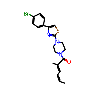 C/C=C\C=C(/C)C(=O)N1CCN(c2nc(-c3ccc(Br)cc3)cs2)CC1